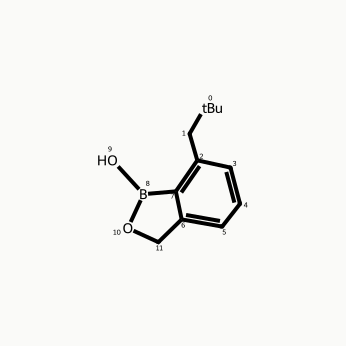 CC(C)(C)Cc1cccc2c1B(O)OC2